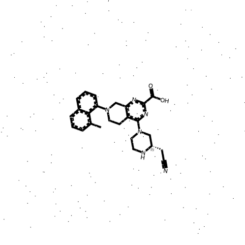 Cc1cccc2cccc(N3CCc4c(nc(C(=O)O)nc4N4CCN[C@@H](CC#N)C4)C3)c12